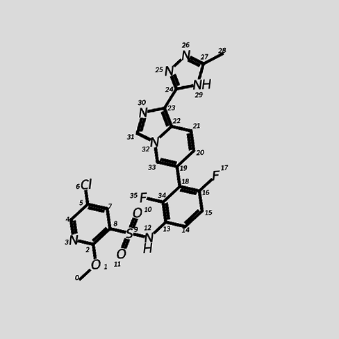 COc1ncc(Cl)cc1S(=O)(=O)Nc1ccc(F)c(-c2ccc3c(-c4nnc(C)[nH]4)ncn3c2)c1F